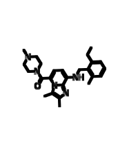 CCc1cccc(C)c1CNc1ccc(C(=O)N2CCN(C)CC2)n2c(C)c(C)nc12